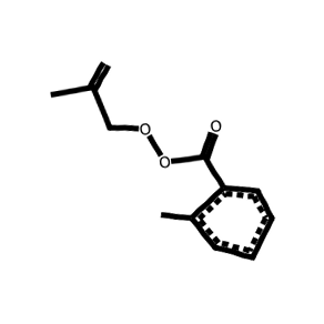 C=C(C)COOC(=O)c1ccccc1C